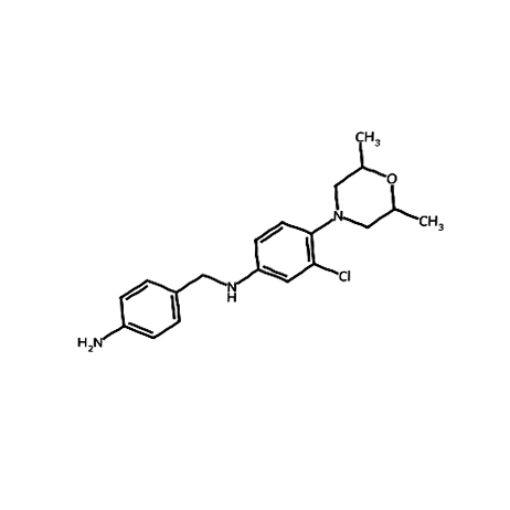 CC1CN(c2ccc(NCc3ccc(N)cc3)cc2Cl)CC(C)O1